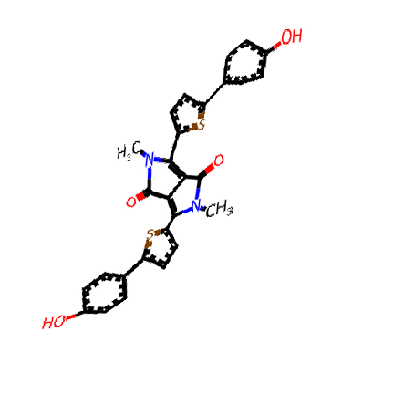 CN1C(=O)C2=C(c3ccc(-c4ccc(O)cc4)s3)N(C)C(=O)C2=C1c1ccc(-c2ccc(O)cc2)s1